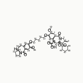 C=C1CN2C(=O)c3cc(OC)c(OCCCCCOc4cc5c(cc4OC)C(=O)N4CCC[C@H]4C=C5)cc3N(C(=O)O)C[C@]2(OC2CCCCO2)C1